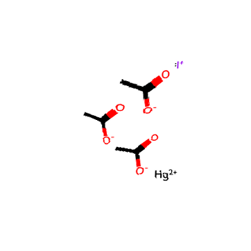 CC(=O)[O-].CC(=O)[O-].CC(=O)[O-].[Hg+2].[I+]